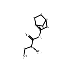 N[C@@H](CS)C(=O)OC1=C2CCC(C2)C1